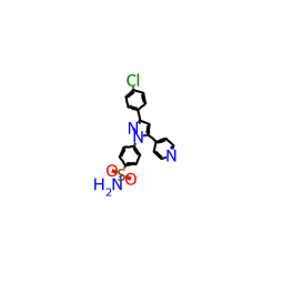 NS(=O)(=O)c1ccc(-n2nc(-c3ccc(Cl)cc3)cc2-c2ccncc2)cc1